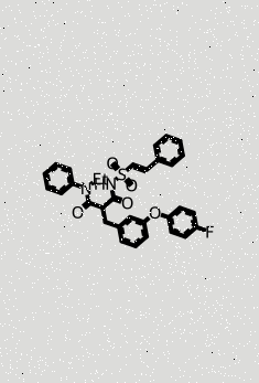 CCN(C(=O)C(Cc1cccc(Oc2ccc(F)cc2)c1)C(=O)NS(=O)(=O)/C=C/c1ccccc1)c1ccccc1